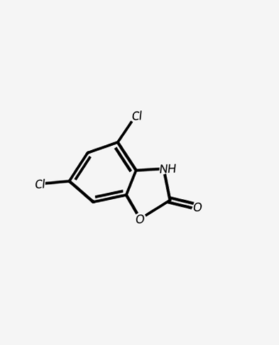 O=c1[nH]c2c(Cl)cc(Cl)cc2o1